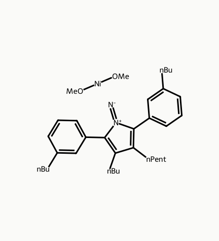 CCCCCC1=C(c2cccc(CCCC)c2)[N+](=[N-])C(c2cccc(CCCC)c2)=C1CCCC.C[O][Ni][O]C